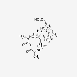 C=CC(=O)O.C=CC(=O)O.C=CC(=O)O.C=CC(=O)O.C=CC(=O)O.C=CC(=O)OC(=O)C(=C)NC(=O)OCC